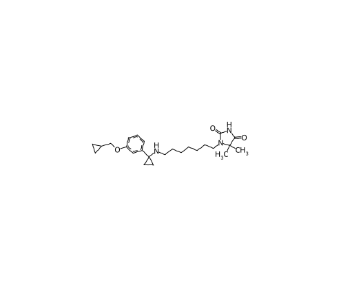 CC1(C)C(=O)NC(=O)N1CCCCCCCNC1(c2cccc(OCC3CC3)c2)CC1